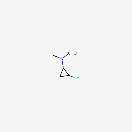 CN([C]=O)C1CC1F